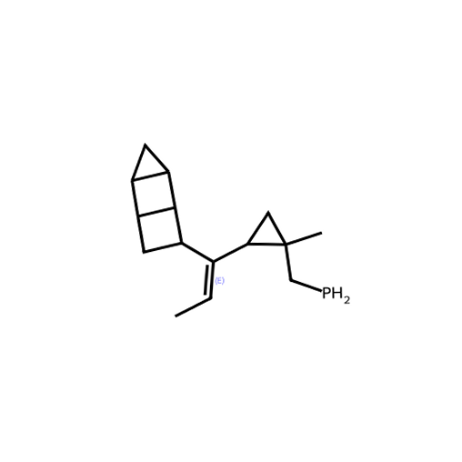 C/C=C(\C1CC2C3CC3C12)C1CC1(C)CP